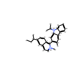 CCC(C)c1ccc2c(-c3cc4c(cc3C)c3ccccc3n4C(C)C)[n+](C)ccc2c1